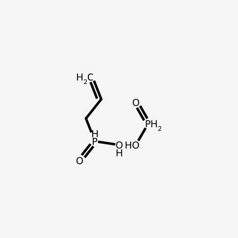 C=CC[PH](=O)O.O=[PH2]O